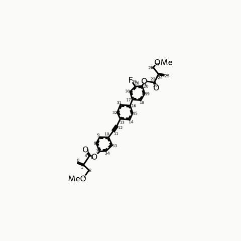 C=C(COC)C(=O)Oc1ccc(C#Cc2ccc(-c3ccc(OC(=O)C(=C)COC)c(F)c3)cc2)cc1